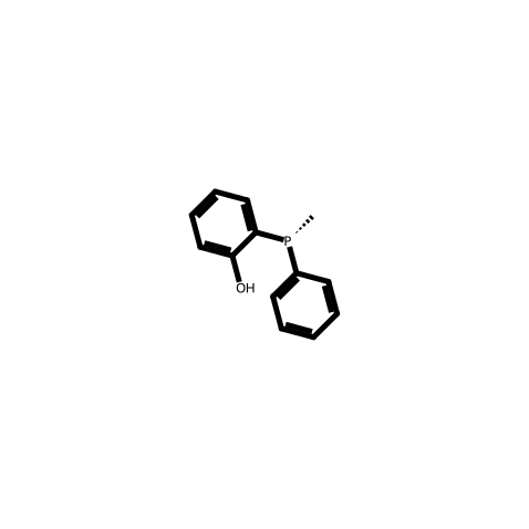 C[P@](c1ccccc1)c1ccccc1O